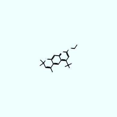 CCOc1cc(C(F)(F)F)c2cc3c(cc2n1)NC(C)(C)C=C3C